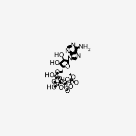 COP(=O)(O)OP(=O)(O)OP(=O)(O)OP(=O)(O)OC[C@H]1O[C@@H](n2cnc3c(N)ncnc32)[C@H](O)[C@@H]1O